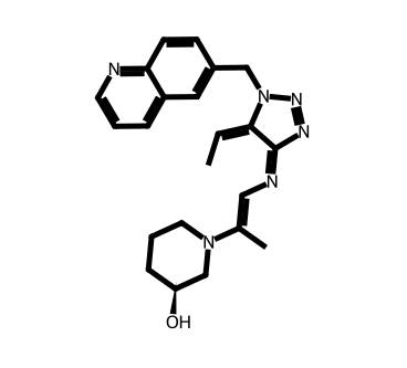 CC=C1/C(=N\C=C(/C)N2CCC[C@H](O)C2)N=NN1Cc1ccc2ncccc2c1